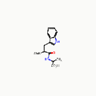 CNC(Cc1c[nH]c2ccccc12)C(=O)NC(C)C(=O)O